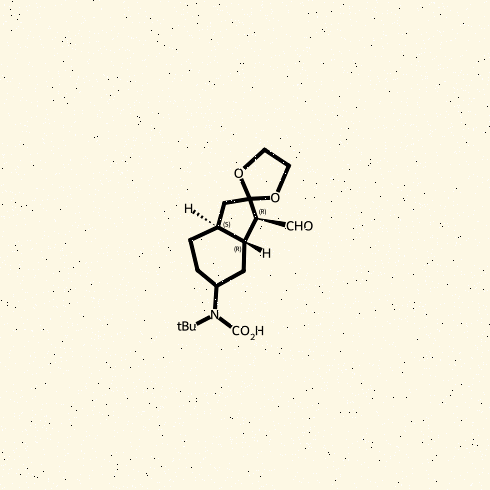 CC(C)(C)N(C(=O)O)C1CC[C@H]2CC3(OCCO3)[C@@H](C=O)[C@@H]2C1